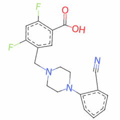 N#Cc1ccccc1N1CCN(Cc2cc(C(=O)O)c(F)cc2F)CC1